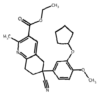 CCOC(=O)c1cc2c(nc1C)CCC(C#N)(c1ccc(OC)c(OC3CCCC3)c1)C2